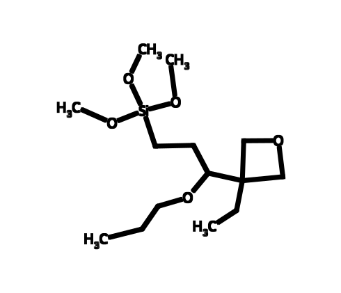 CCCOC(CC[Si](OC)(OC)OC)C1(CC)COC1